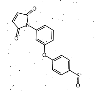 O=[S+]c1ccc(Oc2cccc(N3C(=O)C=CC3=O)c2)cc1